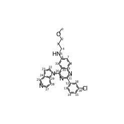 COCCCNc1ccc2nc(-c3cccc(Cl)c3)nc(-n3ccc4cnccc43)c2c1